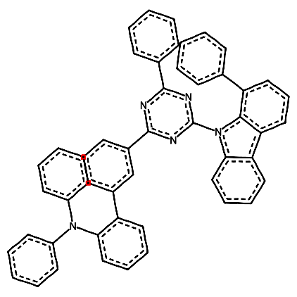 c1ccc(-c2nc(-c3cccc(-c4ccccc4N(c4ccccc4)c4ccccc4)c3)nc(-n3c4ccccc4c4cccc(-c5ccccc5)c43)n2)cc1